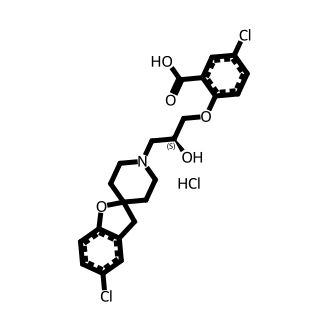 Cl.O=C(O)c1cc(Cl)ccc1OC[C@@H](O)CN1CCC2(CC1)Cc1cc(Cl)ccc1O2